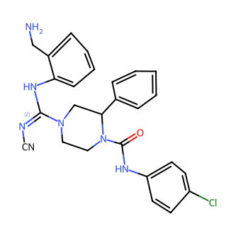 N#C/N=C(/Nc1ccccc1CN)N1CCN(C(=O)Nc2ccc(Cl)cc2)C(c2ccccc2)C1